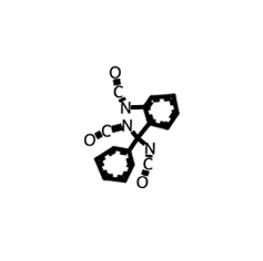 O=C=Nc1ccccc1C(N=C=O)(N=C=O)c1ccccc1